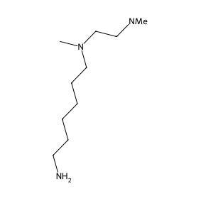 CNCCN(C)CCCCCCN